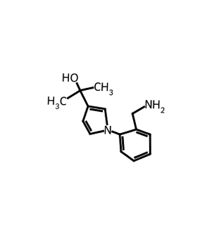 CC(C)(O)c1ccn(-c2ccccc2CN)c1